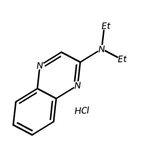 CCN(CC)c1cnc2ccccc2n1.Cl